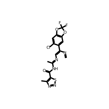 C=N/C(=C\N=C(/C)NC(=O)c1snnc1C)c1cc2c(cc1Cl)OC(F)(F)O2